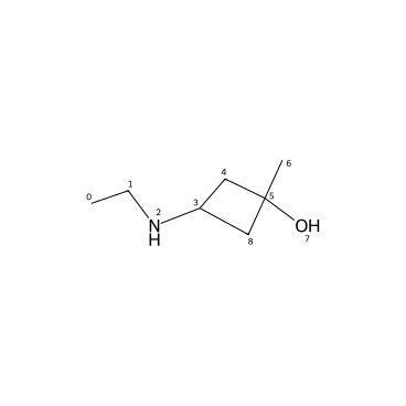 CCNC1CC(C)(O)C1